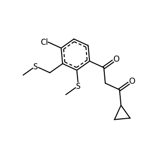 CSCc1c(Cl)ccc(C(=O)CC(=O)C2CC2)c1SC